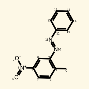 Cc1ccc([N+](=O)[O-])cc1/N=N/c1ccccc1